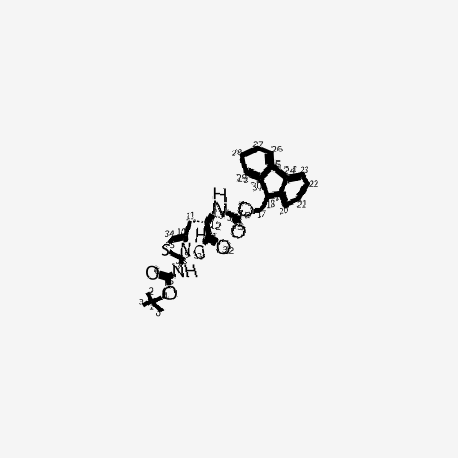 CC(C)(C)OC(=O)Nc1nc(C[C@H](NC(=O)OCC2c3ccccc3-c3ccccc32)C(=O)O)cs1